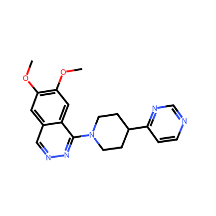 COc1cc2cnnc(N3CCC(c4ccncn4)CC3)c2cc1OC